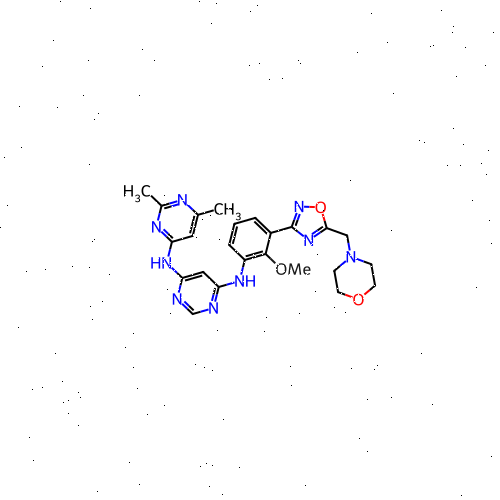 COc1c(Nc2cc(Nc3cc(C)nc(C)n3)ncn2)cccc1-c1noc(CN2CCOCC2)n1